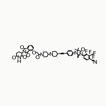 C=C1N(c2ccc(C#N)c(C(F)(F)F)c2F)C(=O)C(C)(C)N1c1ccc(C#CC2CCN(C3CCN(C(=O)COc4cccc5c4C(=O)N(C4CCC(=O)NC4=O)C5=O)CC3)CC2)cc1